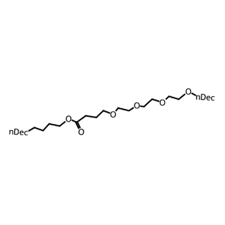 CCCCCCCCCCCCCCOC(=O)CCCOCCOCCOCCOCCCCCCCCCC